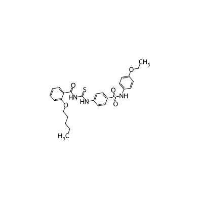 CCCCCOc1ccccc1C(=O)NC(=S)Nc1ccc(S(=O)(=O)Nc2ccc(OCC)cc2)cc1